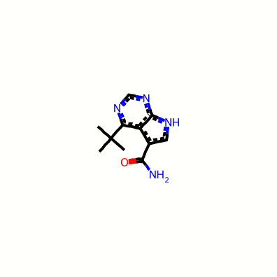 CC(C)(C)c1ncnc2[nH]cc(C(N)=O)c12